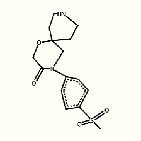 CS(=O)(=O)c1ccc(N2CC3(CCNCC3)OCC2=O)cc1